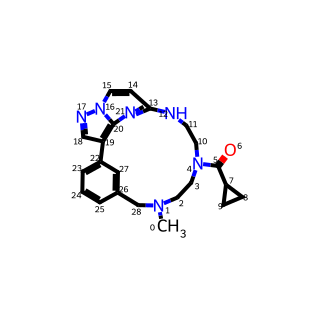 CN1CCN(C(=O)C2CC2)CCNc2ccn3ncc(c3n2)-c2cccc(c2)C1